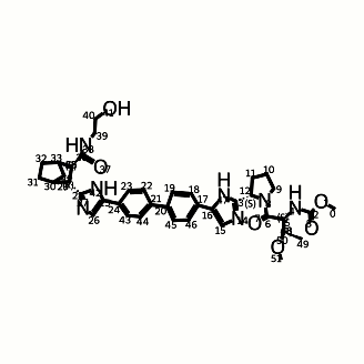 COC(=O)N[C@H](C(=O)N1CCC[C@H]1c1ncc(-c2ccc(-c3ccc(-c4cnc([C@@H]5C6CCC(C6)[C@H]5C(=O)NCCO)[nH]4)cc3)cc2)[nH]1)[C@@H](C)OC